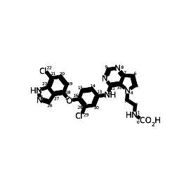 O=C(O)NCCn1ccc2ncnc(Nc3ccc(Oc4ccc(Cl)c5[nH]ncc45)c(Cl)c3)c21